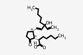 C=CC(O)(C=C[C@H]1CCC(=O)[C@H]1C(CCCCC)C(=O)O)CCCCC